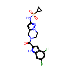 O=C(c1cc2c(Cl)cc(F)cc2[nH]1)N1CCn2nc(NS(=O)(=O)C3CC3)cc2C1